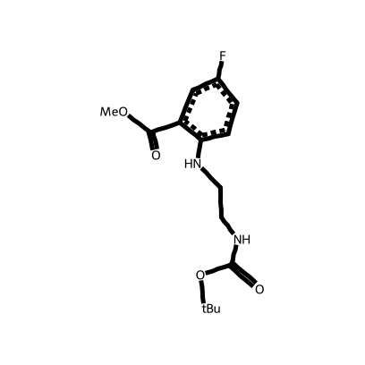 COC(=O)c1cc(F)ccc1NCCNC(=O)OC(C)(C)C